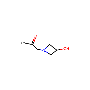 CC(C)C(=O)CN1CC(O)C1